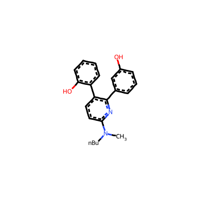 CCCCN(C)c1ccc(-c2ccccc2O)c(-c2cccc(O)c2)n1